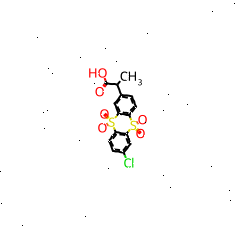 CC(C(=O)O)c1ccc2c(c1)S(=O)(=O)c1ccc(Cl)cc1S2(=O)=O